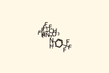 CC(NC(=O)Nc1ccc(C(F)(F)F)cc1)(C(F)(F)F)C(F)(F)F